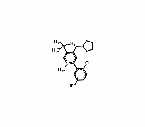 Cc1ccc(C(C)C)cc1-c1cc(CC2CCCC2)c([Si](C)(C)C)c[n+]1C